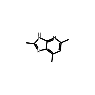 Cc1cc(C)c2nc(C)[nH]c2n1